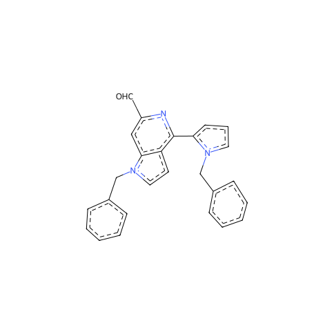 O=Cc1cc2c(ccn2Cc2ccccc2)c(-c2cccn2Cc2ccccc2)n1